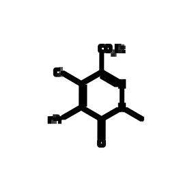 CCCc1c(Cl)c(C(=O)OCC)nn(C)c1=O